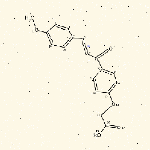 COc1ccc(/C=C/C(=O)c2ccc(OCC(=O)O)cc2)cc1